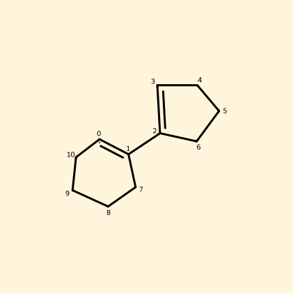 [C]1=C(C2=CCCC2)CCCC1